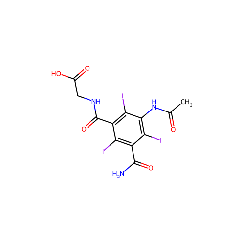 CC(=O)Nc1c(I)c(C(N)=O)c(I)c(C(=O)NCC(=O)O)c1I